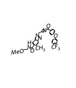 COCCNC(=O)c1cc2cn(CC3CN(C(=O)c4ccc(Oc5ccc(C(F)(F)F)cc5)cc4)C3)nc2cc1C